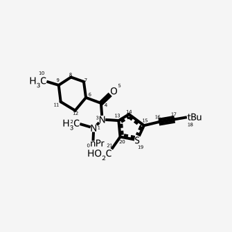 CCCN(C)N(C(=O)C1CCC(C)CC1)c1cc(C#CC(C)(C)C)sc1C(=O)O